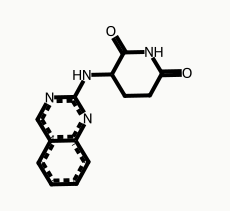 O=C1CCC(Nc2ncc3ccccc3n2)C(=O)N1